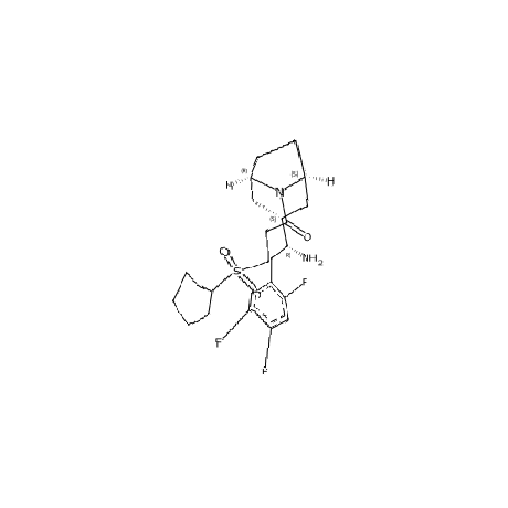 N[C@H](Cc1cc(F)c(F)cc1F)[C@@H]1C[C@H]2CC[C@@H](C1)N2C(=O)CCS(=O)(=O)C1CCCC1